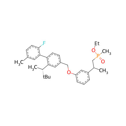 CCOP(C)(=O)CC(C)c1cccc(OCc2ccc(-c3cc(C)ccc3F)c([C@@H](C)C(C)(C)C)c2)c1